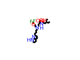 CCC(CC)CC(=O)NC(CCN(CCCCc1ccc2c(n1)NCCC2)CCOC(F)F)C(=O)O